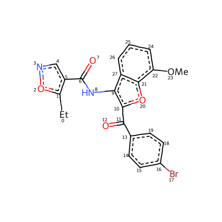 CCc1oncc1C(=O)Nc1c(C(=O)c2ccc(Br)cc2)oc2c(OC)cccc12